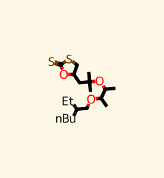 CCCCC(CC)COC(C)C(C)OC(C)(C)CC1CSC(=S)O1